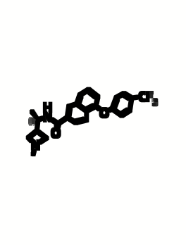 C[C@@H](NC(=O)c1ccc2c(Oc3ccc(C(F)(F)F)cc3)cccc2c1)C1CN(C)C1